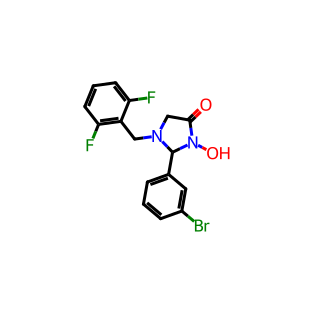 O=C1CN(Cc2c(F)cccc2F)C(c2cccc(Br)c2)N1O